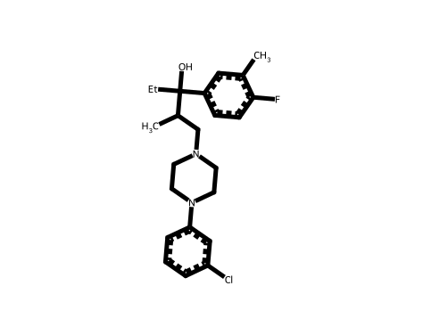 CCC(O)(c1ccc(F)c(C)c1)C(C)CN1CCN(c2cccc(Cl)c2)CC1